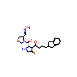 O=C(CCCC1Cc2ccccc2C1)C1C(=S)CN[C@@H]1C(=O)N1CSC[C@H]1C=NO